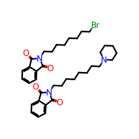 O=C1c2ccccc2C(=O)N1CCCCCCCCBr.O=C1c2ccccc2C(=O)N1CCCCCCCCN1CCCCC1